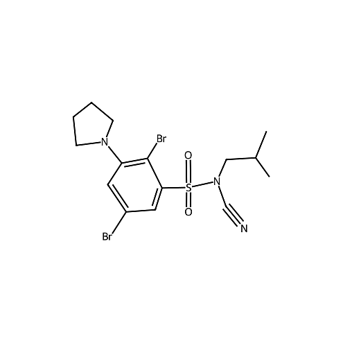 CC(C)CN(C#N)S(=O)(=O)c1cc(Br)cc(N2CCCC2)c1Br